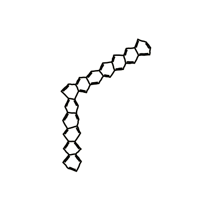 c1ccc2cc3cc4cc5cc6cc7c(ccc8cc9cc%10cc%11cc%12ccccc%12cc%11cc%10cc9cc87)cc6cc5cc4cc3cc2c1